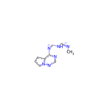 C/N=C\N/C=N\c1ncnn2cccc12